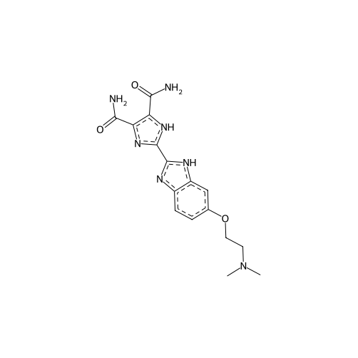 CN(C)CCOc1ccc2nc(-c3nc(C(N)=O)c(C(N)=O)[nH]3)[nH]c2c1